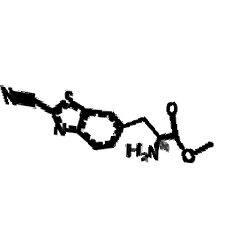 COC(=O)[C@@H](N)Cc1ccc2nc(C#N)sc2c1